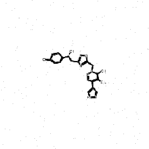 CC1=C(c2cn[nH]c2)C=NN(Cc2nc(C[C@H](O)c3ccc(Cl)cc3)no2)C1O